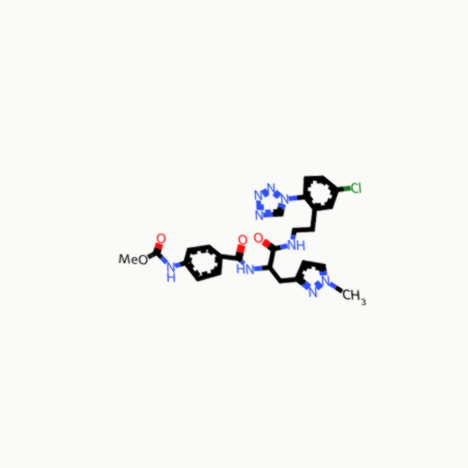 COC(=O)Nc1ccc(C(=O)NC(Cc2ccn(C)n2)C(=O)NCCc2cc(Cl)ccc2-n2cnnn2)cc1